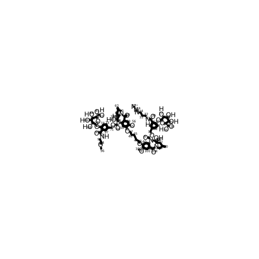 C=C1C[C@H]2C(O)N(C(=O)OCc3ccc(O[C@@H]4O[C@H](C(=O)O)[C@@H](O)[C@H](O)[C@H]4O)c(C(=O)NCCCN=[N+]=[N-])c3)c3cc(OCCCCCOc4cc5c(cc4OC)C(=O)N4CC(=C)C[C@H]4C(O)N5C(=O)OCc4ccc(O[C@@H]5O[C@H](C(=O)O)[C@@H](O)[C@H](O)[C@H]5O)c(C(=O)NCCOC)c4)c(OC)cc3C(=O)N2C1